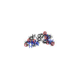 CC1(c2ccc(-c3cnc([C@@H]4CCCN4C(=O)[C@H](NC(=O)N4CCOCC4)c4ccccc4)[nH]3)cc2)CC=C(C(=O)NC[C@@H]2CCCN2C(=O)[C@H](NC(=O)N2CCOCC2)c2ccccc2)CC1